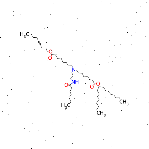 CCCCC#CCCCOC(=O)CCCCCCCN(CCCCCCCC(=O)OC(CCCCCCCC)CCCCCCCC)CCCNC(=O)CCCCCC